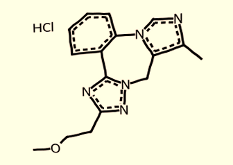 COCCc1nc2n(n1)Cc1c(C)ncn1-c1ccccc1-2.Cl